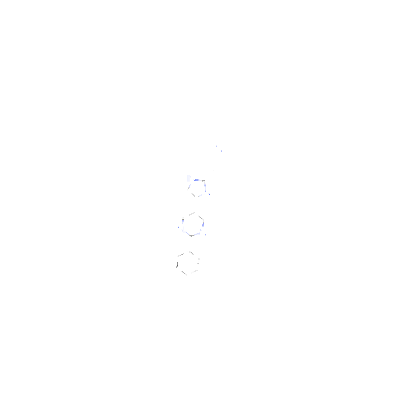 c1ccc(-c2ncc(-c3c[nH]c(C4CCCNC4)n3)cn2)cc1